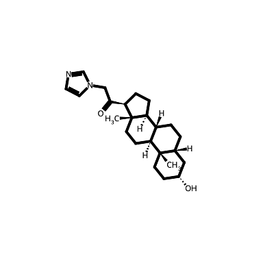 C[C@]12CC[C@@H](O)C[C@H]1CC[C@@H]1[C@@H]2CC[C@]2(C)[C@@H](C(=O)Cn3ccnc3)CC[C@@H]12